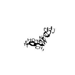 Cc1cc(C(F)(F)F)cc(O)c1-c1ccn2nc(N3CCO[C@@H](C)C3)nc2n1